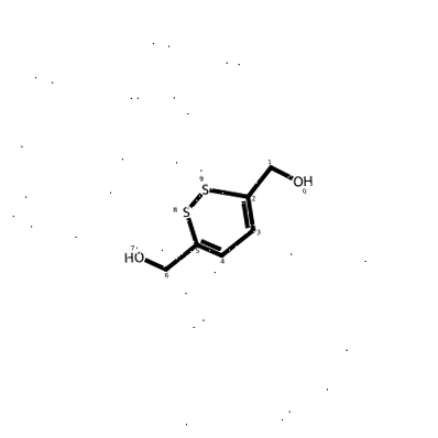 OCC1=CC=C(CO)SS1